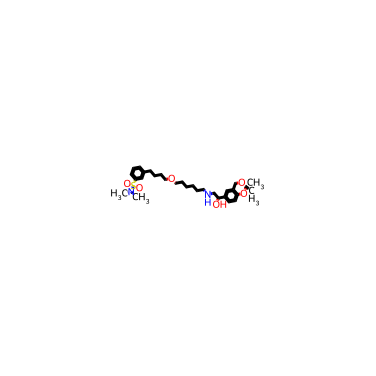 CN(C)S(=O)(=O)c1cccc(CCCCOCCCCCCNCC(O)c2ccc3c(c2)COC(C)(C)O3)c1